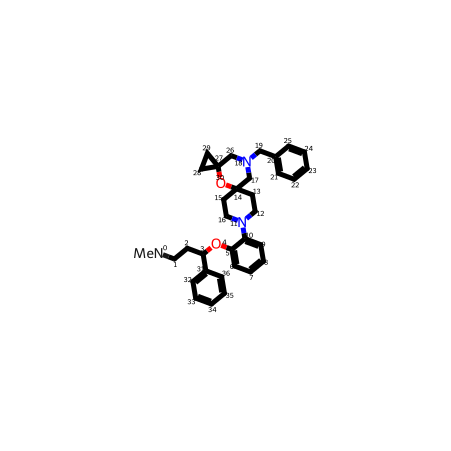 CNCCC(Oc1ccccc1N1CCC2(CC1)CN(Cc1ccccc1)CC1(CC1)O2)c1ccccc1